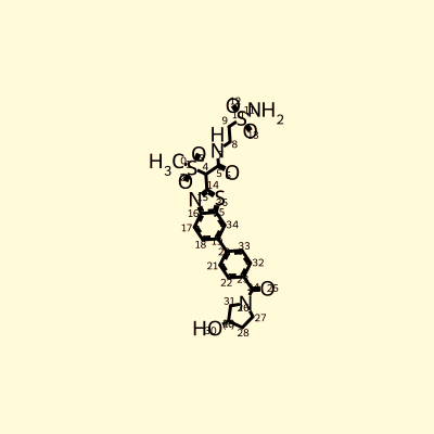 CS(=O)(=O)C(C(=O)NCCS(N)(=O)=O)c1nc2ccc(-c3ccc(C(=O)N4CC[C@@H](O)C4)cc3)cc2s1